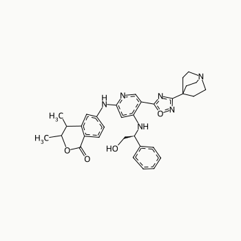 CC1OC(=O)c2ccc(Nc3cc(N[C@H](CO)c4ccccc4)c(-c4nc(C56CCN(CC5)CC6)no4)cn3)cc2C1C